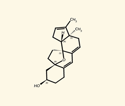 CC1=CC[C@@H]2[C@]1(C)CC=C1C=C3CC[C@@H](O)C[C@]34CC[C@@]12O4